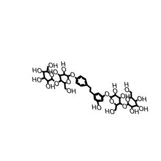 OCC1OC(OC2C(CO)OC(Oc3ccc(CCc4cc(O)cc(OC5OC(CO)C(OC6OC(CO)C(O)C(O)C6O)C(O)C5O)c4)cc3)C(O)C2O)C(O)C(O)C1O